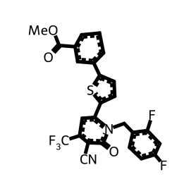 COC(=O)c1cccc(-c2ccc(-c3cc(C(F)(F)F)c(C#N)c(=O)n3Cc3ccc(F)cc3F)s2)c1